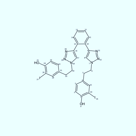 Oc1ccc(CCn2cc(-c3ccccc3-c3cn(CCc4ccc(O)c(I)c4)nn3)nn2)cc1I